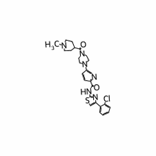 CN1CCC(C(=O)N2CCN(c3ccc(C(=O)Nc4nc(-c5ccccc5Cl)cs4)nc3)CC2)CC1